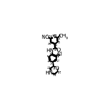 Cc1cc(C(=O)Nc2ccc(C3CNCCO3)cc2Cl)cc(C#N)n1